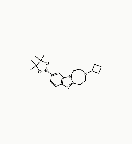 CC1(C)OB(c2ccc3nc4n(c3c2)CCN(C2CCC2)CC4)OC1(C)C